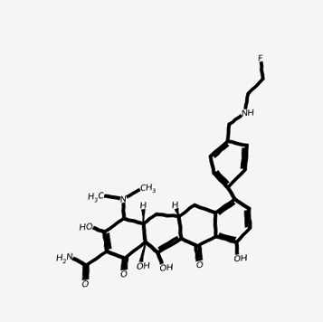 CN(C)C1C(O)=C(C(N)=O)C(=O)[C@@]2(O)C(O)=C3C(=O)c4c(O)ccc(-c5ccc(CNCCF)cc5)c4C[C@H]3C[C@@H]12